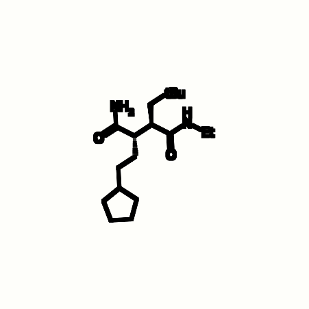 CCNC(=O)[C@H](CC(C)(C)C)[C@H](CCC1CCCC1)C(N)=O